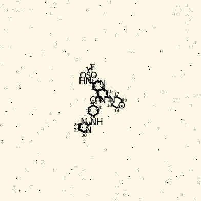 O=S(=O)(CF)Nc1cnc2cc(N3CCOCC3)nc(O[C@H]3CC[C@@H](Nc4ncccn4)CC3)c2c1